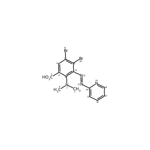 CN(C)c1c(C(=O)O)cc(Br)c(Br)c1N=Nc1ccccn1